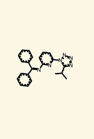 CC(C)c1nnnn1-c1cccc(N=C(c2ccccc2)c2ccccc2)n1